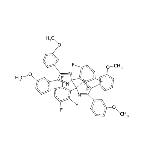 COc1cccc(C2=NC(c3c(F)ccc(F)c3F)(C3(c4c(F)ccc(F)c4F)N=C(c4cccc(OC)c4)C(c4cccc(OC)c4)=N3)N=C2c2cccc(OC)c2)c1